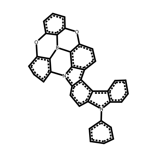 c1ccc(-n2c3ccccc3c3c4c5ccc6c7c5n(c4ccc32)-c2cccc3c2B7c2c(cccc2O6)O3)cc1